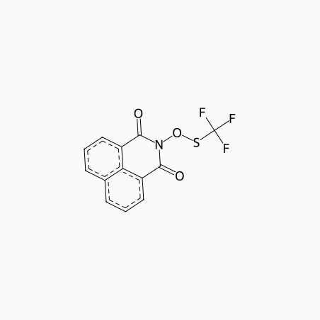 O=C1c2cccc3cccc(c23)C(=O)N1OSC(F)(F)F